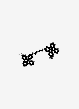 Oc1ccc(C2(c3ccc(OCCOCCOc4ccc(C5(c6ccc(O)cc6)c6ccccc6-c6ccccc65)cc4)cc3)c3ccccc3-c3ccccc32)cc1